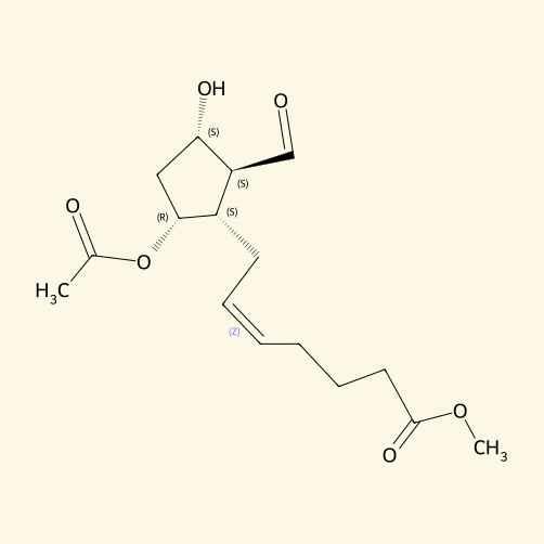 COC(=O)CCC/C=C\C[C@H]1[C@H](C=O)[C@@H](O)C[C@H]1OC(C)=O